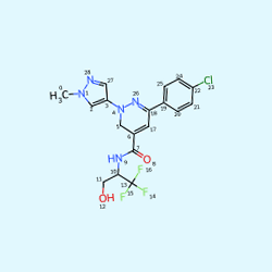 Cn1cc(N2CC(C(=O)NC(CO)C(F)(F)F)=CC(c3ccc(Cl)cc3)=N2)cn1